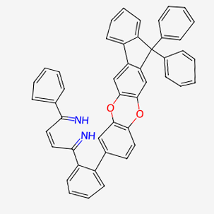 N=C(/C=C\C(=N)c1ccccc1-c1ccc2c(c1)Oc1cc3c(cc1O2)C(c1ccccc1)(c1ccccc1)c1ccccc1-3)c1ccccc1